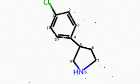 Clc1ccc(C2CCNC2)cc1